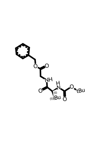 CC[C@H](C)[C@H](NC(=O)OC(C)(C)C)C(=O)NCC(=O)OCc1ccccc1